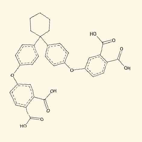 O=C(O)c1ccc(Oc2ccc(C3(c4ccc(Oc5ccc(C(=O)O)c(C(=O)O)c5)cc4)CCCCC3)cc2)cc1C(=O)O